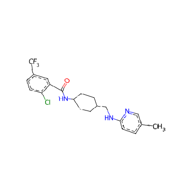 Cc1ccc(NCC2CCC(NC(=O)c3cc(C(F)(F)F)ccc3Cl)CC2)nc1